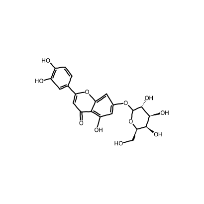 O=c1cc(-c2ccc(O)c(O)c2)oc2cc(OC3O[C@H](CO)[C@H](O)[C@H](O)[C@H]3O)cc(O)c12